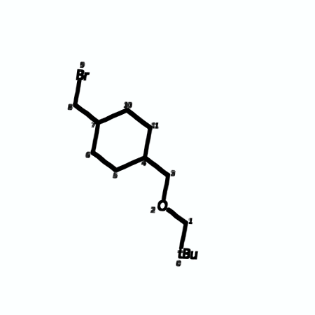 CC(C)(C)COCC1CCC(CBr)CC1